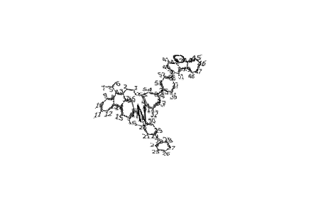 C/C=C\c1c(C(C)C)c2ccccc2c2ccc(N(c3ccc(-c4ccccc4)cc3)c3ccc(-c4ccc(-c5ccc6oc7ccccc7c6c5)cc4)cc3)cc12